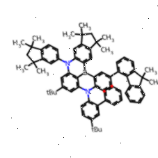 CC(C)(C)c1ccc(N2c3ccc(-c4cccc5c4-c4ccccc4C5(C)C)cc3B3c4cc5c(cc4N(c4ccc6c(c4)C(C)(C)CC6(C)C)c4cc(C(C)(C)C)cc2c43)C(C)(C)CC5(C)C)c(-c2ccccc2)c1